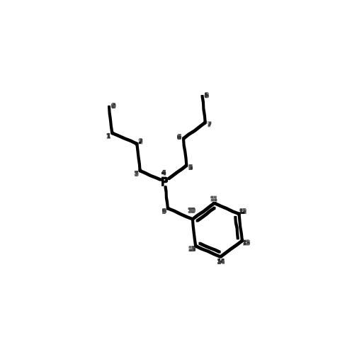 CCCCP(CCCC)Cc1ccccc1